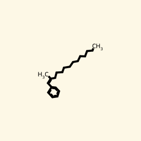 CCCCCCCCCCCCC(C)=Cc1ccccc1